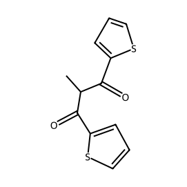 CC(C(=O)c1cccs1)C(=O)c1cccs1